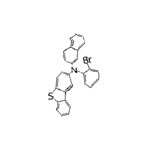 Brc1ccccc1N(c1ccc2ccccc2c1)c1ccc2sc3ccccc3c2c1